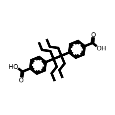 CCCC(CCC)(c1ccc(C(=O)O)cc1)C(CCC)(CCC)c1ccc(C(=O)O)cc1